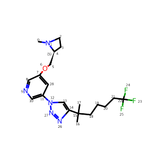 CN1CC[C@H]1COc1cncc(-n2cc(C(C)(C)CCCCC(F)(F)F)nn2)c1